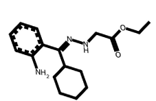 CCOC(=O)CNN=C(c1ccccc1N)C1CCCCC1